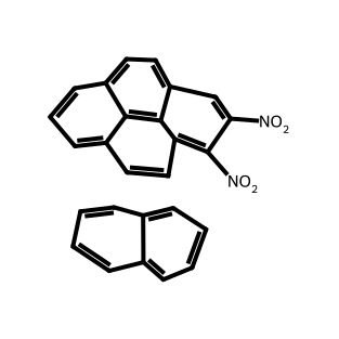 O=[N+]([O-])c1cc2ccc3cccc4ccc(c1[N+](=O)[O-])c2c34.c1ccc2ccccc2c1